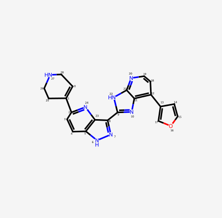 C1=C(c2ccc3[nH]nc(-c4nc5c(-c6ccoc6)ccnc5[nH]4)c3n2)CCNC1